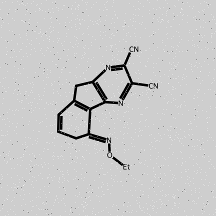 CCON=C1CC=CC2=C1c1nc(C#N)c(C#N)nc1C2